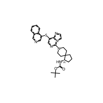 CC(C)(C)OC(=O)N[C@@H]1CCCC12CCN(c1ncc(Sc3cncc4ccccc34)c3nccn13)CC2